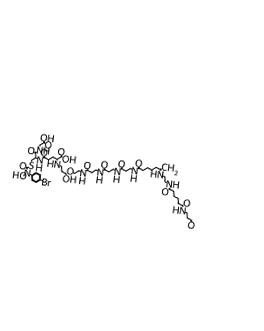 C=C(CCCCC(=O)NCCC(=O)NCCC(=O)NCCC(=O)NCCOC(O)CCNC(CCC(=O)NC(CSC(=O)N(O)c1ccc(Br)cc1)C(=O)NCC(=O)O)C(=O)O)NCCNC(=O)CCCCC(=O)NCCC=O